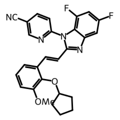 COc1cccc(/C=C/c2nc3cc(F)cc(F)c3n2-c2ccc(C#N)cn2)c1OC1CCCC1